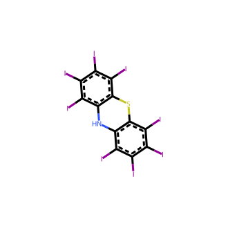 Ic1c(I)c(I)c2c(c1I)Nc1c(I)c(I)c(I)c(I)c1S2